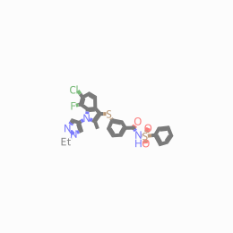 CCn1cc(-n2c(C)c(Sc3cccc(C(=O)NS(=O)(=O)c4ccccc4)c3)c3ccc(Cl)c(F)c32)cn1